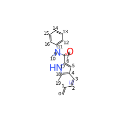 C=C/C=C\c1cc(C(=O)N(C)c2ccccc2)[nH]c1C